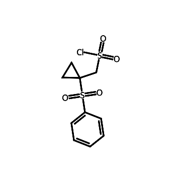 O=S(=O)(Cl)CC1(S(=O)(=O)c2ccccc2)CC1